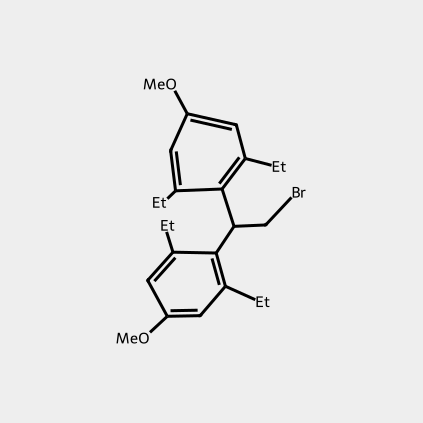 CCc1cc(OC)cc(CC)c1C(CBr)c1c(CC)cc(OC)cc1CC